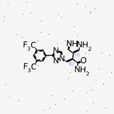 N=CC(=C\N)/C(=C\n1cnc(-c2cc(C(F)(F)F)cc(C(F)(F)F)c2)n1)C(N)=O